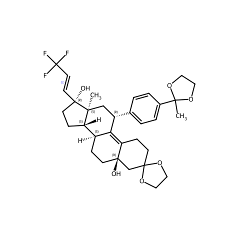 CC1(c2ccc([C@H]3C[C@@]4(C)[C@@H](CC[C@@]4(O)/C=C/C(F)(F)F)[C@@H]4CC[C@@]5(O)CC6(CCC5=C43)OCCO6)cc2)OCCO1